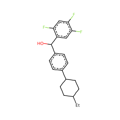 CCC1CCC(c2ccc(C(O)c3cc(F)c(F)cc3F)cc2)CC1